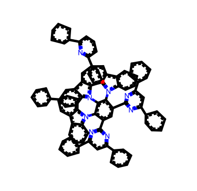 c1ccc(-c2ccc3c(c2)c2cc(-c4cccc(-c5ccccc5)n4)ccc2n3-c2c(-n3c4ccccc4c4ccccc43)c(-c3nc(-c4ccccc4)cc(-c4ccccc4)n3)cc(-c3nc(-c4ccccc4)cc(-c4ccccc4)n3)c2-n2c3ccccc3c3ccccc32)cc1